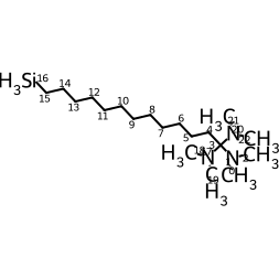 CN(C)C(CCCCCCCCCCCC[SiH3])(N(C)C)N(C)C